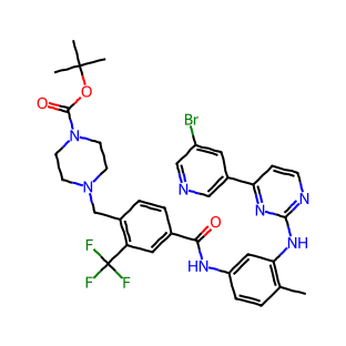 Cc1ccc(NC(=O)c2ccc(CN3CCN(C(=O)OC(C)(C)C)CC3)c(C(F)(F)F)c2)cc1Nc1nccc(-c2cncc(Br)c2)n1